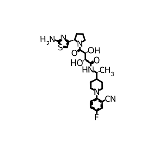 C[C@@H](NC(=O)[C@H](O)[C@@H](O)C(=O)N1CCC[C@@H]1c1csc(N)n1)C1CCN(c2ccc(F)cc2C#N)CC1